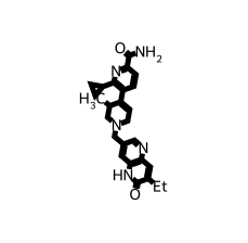 CCc1cc2ncc(CN3CC=C(c4ccc(C(N)=O)nc4C4CC4)C(C)C3)cc2[nH]c1=O